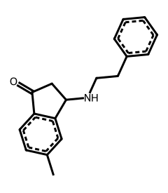 Cc1ccc2c(c1)C(NCCc1ccccc1)CC2=O